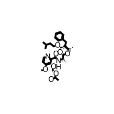 COc1ccnc(C(=O)N[C@@H](C)C(=O)O[C@@H](C)[C@@H](COCCC(C)C)Cc2ccccc2)c1OCOC(C)=O